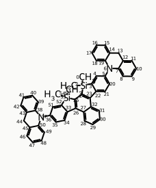 C[Si]1(C)c2cc(N3c4ccccc4Cc4ccccc43)ccc2-c2c1c1c(c3ccccc23)-c2ccc(N3c4ccccc4Cc4ccccc43)cc2[Si]1(C)C